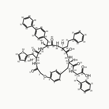 O=C1COc2ccc(cc2)C[C@@H](C(=O)N[C@@H](Cc2ccccc2)C(=O)O)NC(=O)[C@H](CCc2ccccc2)NC(=O)[C@@H](Cc2ccc(-c3ccccc3)cc2)NC(=O)[C@H](Cc2cccs2)N1